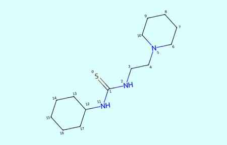 S=C(NCCN1CCCCC1)NC1CCCCC1